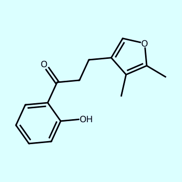 Cc1occ(CCC(=O)c2ccccc2O)c1C